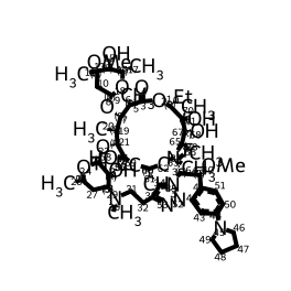 CC[C@H]1OC(=O)[C@H](C)[C@@H](O[C@H]2C[C@@](C)(OC)[C@@H](O)[C@H](C)O2)[C@H](C)[C@@H](O[C@@H]2O[C@H](C)C[C@H](N(C)CCc3cn([C@H](CF)[C@H](OC)c4ccc(N5CCCC5)cc4)nn3)[C@H]2O)[C@](C)(O)C[C@@H](C)CN(C)[C@H](C)[C@@H](O)[C@]1(C)O